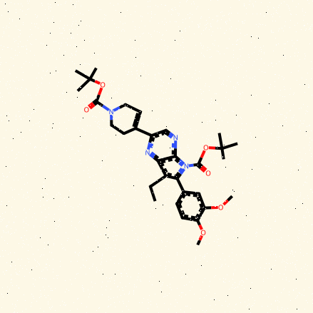 CCc1c(-c2ccc(OC)c(OC)c2)n(C(=O)OC(C)(C)C)c2ncc(C3=CCN(C(=O)OC(C)(C)C)CC3)nc12